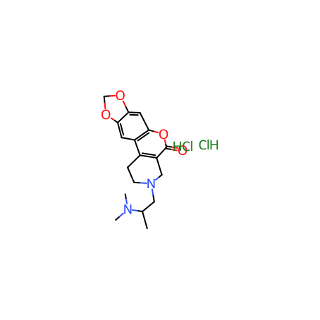 CC(CN1CCc2c(c(=O)oc3cc4c(cc23)OCO4)C1)N(C)C.Cl.Cl